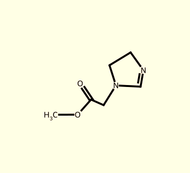 COC(=O)CN1C=NCC1